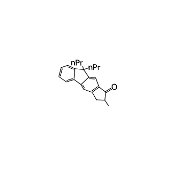 CCCC1(CCC)c2ccccc2-c2cc3c(cc21)C(=O)C(C)C3